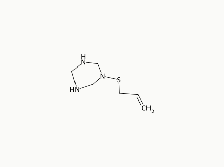 C=CCSN1CNCNC1